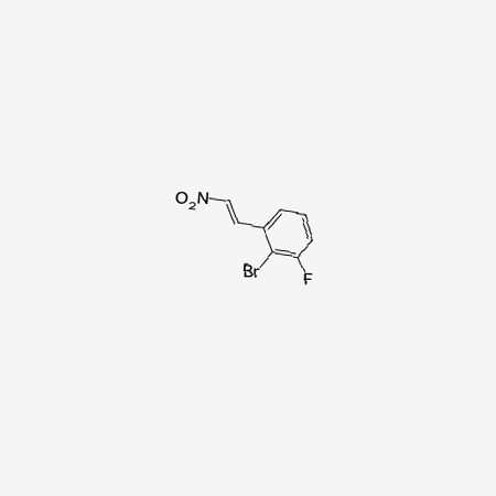 O=[N+]([O-])/C=C/c1cccc(F)c1Br